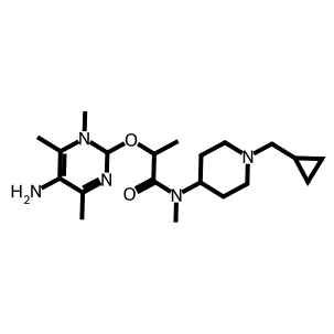 CC1=NC(OC(C)C(=O)N(C)C2CCN(CC3CC3)CC2)N(C)C(C)=C1N